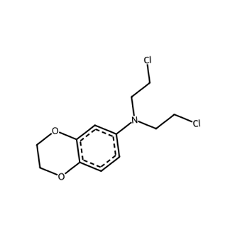 ClCCN(CCCl)c1ccc2c(c1)OCCO2